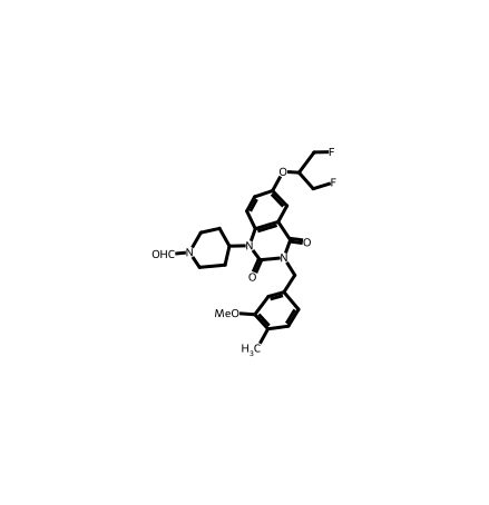 COc1cc(Cn2c(=O)c3cc(OC(CF)CF)ccc3n(C3CCN(C=O)CC3)c2=O)ccc1C